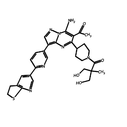 CC(=O)c1c(C2CCN(C(=O)C(C)(CO)CO)CC2)nc2c(-c3ccc(-c4cnc5c(c4)CCS5)nc3)cnn2c1N